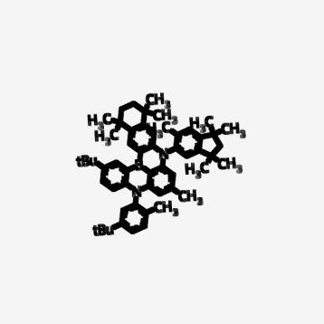 Cc1cc2c3c(c1)N(c1cc4c(cc1C)C(C)(C)CC4(C)C)c1cc4c(cc1B3c1cc(C(C)(C)C)ccc1N2c1cc(C(C)(C)C)ccc1C)C(C)(C)CCC4(C)C